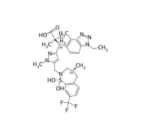 CCn1nnc2c(C)c([C@@H](c3cc(CN4C[C@@H](C)Cc5ccc(C(F)(F)F)cc5S4(O)O)n(C)n3)C(C)(C)C(=O)O)ccc21